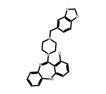 Clc1cccc2c1C(N1CCN(Cc3ccc4c(c3)OCO4)CC1)=Nc1ccccc1N2